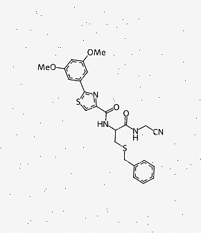 COc1cc(OC)cc(-c2nc(C(=O)NC(CSCc3ccccc3)C(=O)NCC#N)cs2)c1